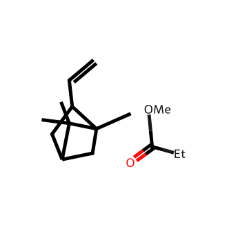 C=CC1CC2CC1(C)C2(C)C.CCC(=O)OC